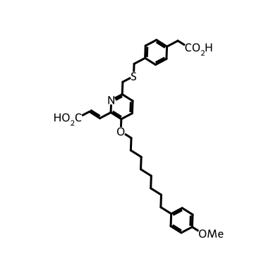 COc1ccc(CCCCCCCCOc2ccc(CSCc3ccc(CC(=O)O)cc3)nc2C=CC(=O)O)cc1